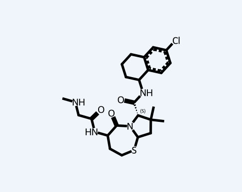 CNCC(=O)NC1CCSC2CC(C)(C)[C@@H](C(=O)NC3CCCc4cc(Cl)ccc43)N2C1=O